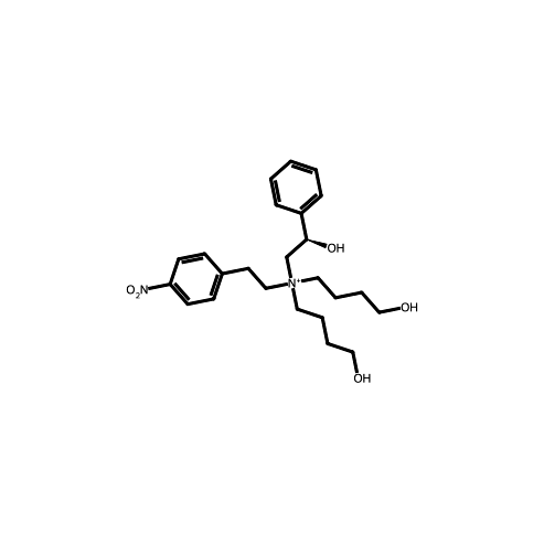 O=[N+]([O-])c1ccc(CC[N+](CCCCO)(CCCCO)C[C@H](O)c2ccccc2)cc1